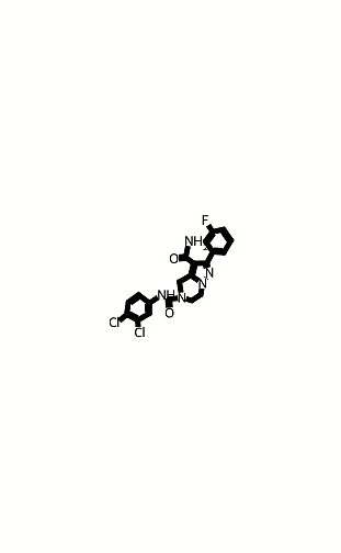 NC(=O)c1c(-c2cccc(F)c2)nn2c1CN(C(=O)Nc1ccc(Cl)c(Cl)c1)CC2